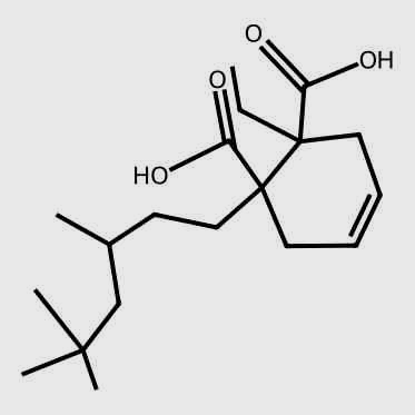 CCC1(C(=O)O)CC=CCC1(CCC(C)CC(C)(C)C)C(=O)O